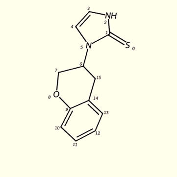 S=c1[nH]ccn1C1COc2ccccc2C1